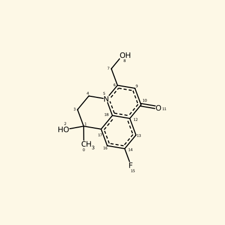 CC1(O)CCn2c(CO)cc(=O)c3cc(F)cc1c32